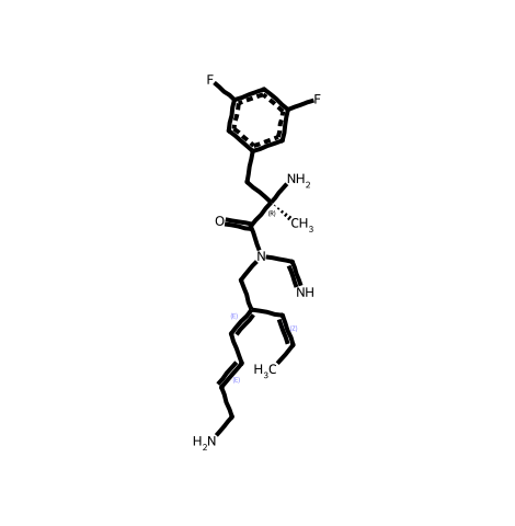 C\C=C/C(=C\C=C\CN)CN(C=N)C(=O)[C@](C)(N)Cc1cc(F)cc(F)c1